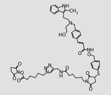 Cc1[nH]c2ccccc2c1CCN(CCO)Cc1ccc(/C=C/C(=O)NOCc2ccc(SC3CC(=O)N(CCCCCC(=O)NCc4cn(CCCCCC(=O)ON5C(=O)CCC5=O)nn4)C3=O)cc2)cc1